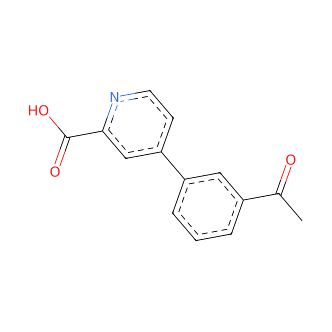 CC(=O)c1cccc(-c2ccnc(C(=O)O)c2)c1